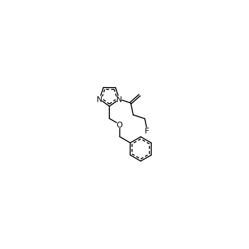 C=C(CCF)n1ccnc1COCc1ccccc1